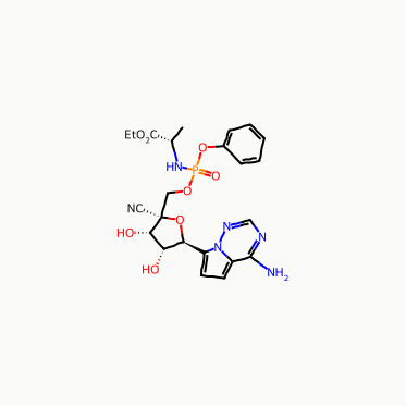 CCOC(=O)[C@H](C)NP(=O)(OC[C@@]1(C#N)O[C@@H](c2ccc3c(N)ncnn23)[C@H](O)[C@@H]1O)Oc1ccccc1